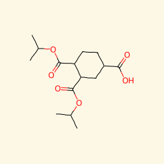 CC(C)OC(=O)C1CCC(C(=O)O)CC1C(=O)OC(C)C